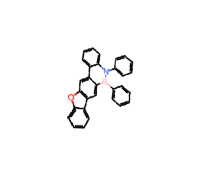 c1ccc(B2c3cc4c(cc3-c3ccccc3N2c2ccccc2)oc2ccccc24)cc1